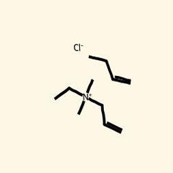 C=CCC.C=CC[N+](C)(C)CC.[Cl-]